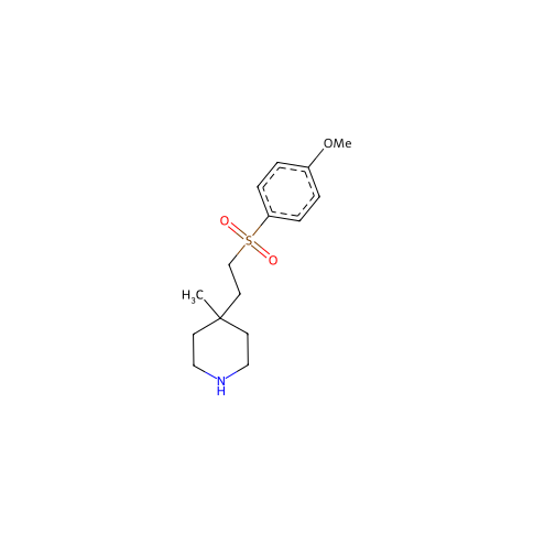 COc1ccc(S(=O)(=O)CCC2(C)CCNCC2)cc1